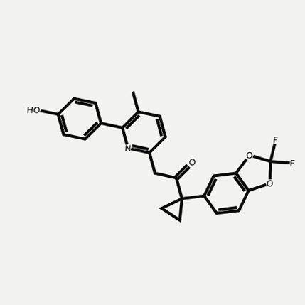 Cc1ccc(CC(=O)C2(c3ccc4c(c3)OC(F)(F)O4)CC2)nc1-c1ccc(O)cc1